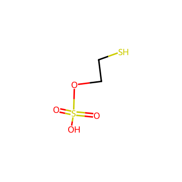 O=S(=O)(O)OCCS